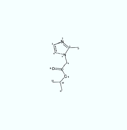 Cc1n[c]cn1CC(=O)OC(C)C